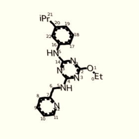 CCOc1nc(NCc2ccccn2)nc(Nc2cccc(C(C)C)c2)n1